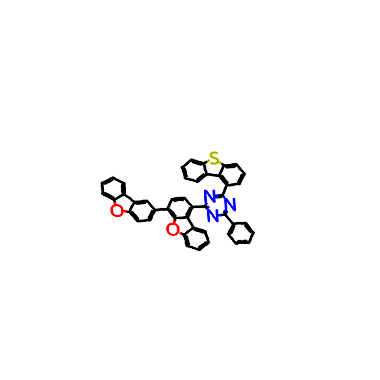 c1ccc(-c2nc(-c3cccc4sc5ccccc5c34)nc(-c3ccc(-c4ccc5oc6ccccc6c5c4)c4oc5ccccc5c34)n2)cc1